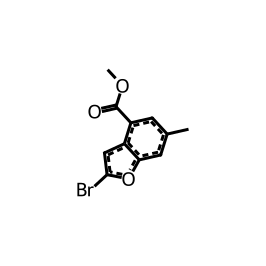 COC(=O)c1cc(C)cc2oc(Br)cc12